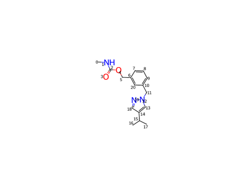 CNC(=O)OCc1cccc(Cn2cc(C(C)C)cn2)c1